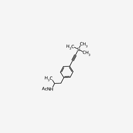 CC(=O)NC(C)Cc1ccc(C#C[Si](C)(C)C)cc1